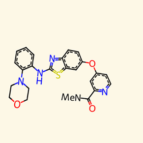 CNC(=O)c1cc(Oc2ccc3nc(Nc4ccccc4N4CCOCC4)sc3c2)ccn1